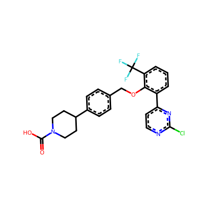 O=C(O)N1CCC(c2ccc(COc3c(-c4ccnc(Cl)n4)cccc3C(F)(F)F)cc2)CC1